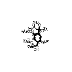 CCOC(OCC)([PH2]=O)c1cc(OC)c(CP(=O)(O)OC(C)CC)cc1OC